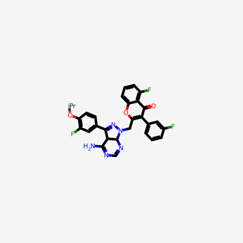 CC(C)Oc1ccc(C2=NN(Cc3oc4cccc(F)c4c(=O)c3-c3cccc(F)c3)C3N=CN=C(N)C23)cc1F